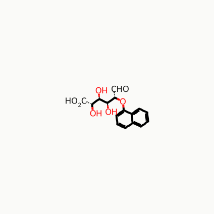 O=C[C@H](Oc1cccc2ccccc12)[C@@H](O)[C@H](O)[C@H](O)C(=O)O